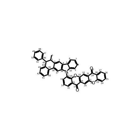 CC1c2cc3c4ccccc4n(-c4cccc5c(=O)c6cc7oc8ccccc8c(=O)c7cc6oc45)c3cc2-c2ccccc2C1c1ccccc1